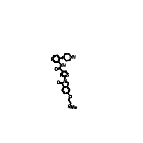 CNCCOc1ccc2c(c1)CN(c1nc(C(=O)Nc3cnccc3N3CCNCC3)cs1)C2=O